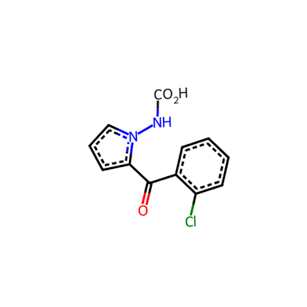 O=C(O)Nn1cccc1C(=O)c1ccccc1Cl